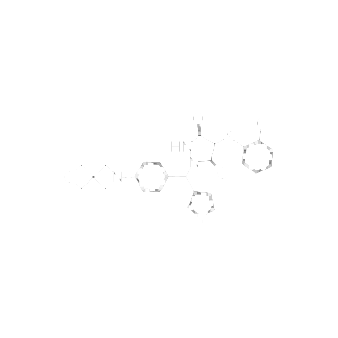 O=C1NN(C(c2ccc(N3CC4(COC4)C3)cc2)c2ccsc2)C(=O)C1Sc1ccccc1Cl